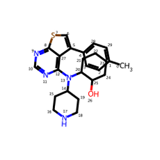 Cc1ccc(-c2csc3ncnc(N(C4CCNCC4)C4CCCCC4O)c23)cc1